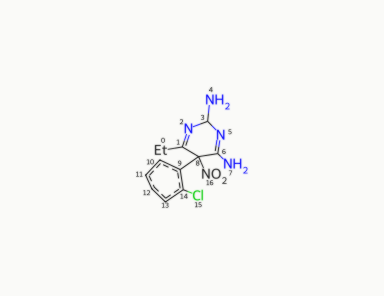 CCC1=NC(N)N=C(N)C1(c1ccccc1Cl)[N+](=O)[O-]